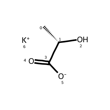 C[C@H](O)C(=O)[O-].[K+]